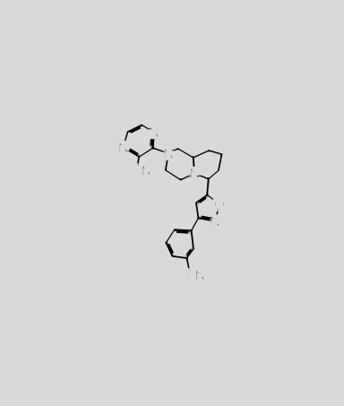 N#Cc1cccc(-c2cc(C3CCCC4CN(c5nccnc5C#N)CCN43)on2)c1